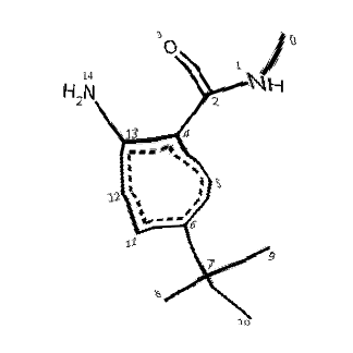 CNC(=O)c1cc(C(C)(C)C)ccc1N